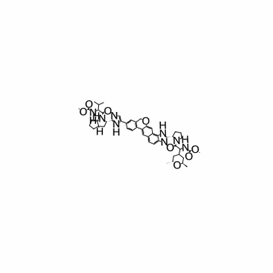 COC(=O)N[C@H](C(=O)N1[C@H](c2ncc(-c3ccc4c(c3)COc3cc5c(ccc6nc([C@@H]7CC[C@H](C)N7C(=O)[C@@H](NC(=O)OC)C7C[C@@H](C)O[C@H](C)C7)[nH]c65)cc3-4)[nH]2)C[C@@H]2CCC[C@@H]21)C(C)C